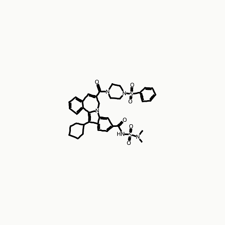 CN(C)S(=O)(=O)NC(=O)c1ccc2c(C3CCCCC3)c3n(c2c1)CC(C(=O)N1CCN(S(=O)(=O)c2ccccc2)CC1)=Cc1ccccc1-3